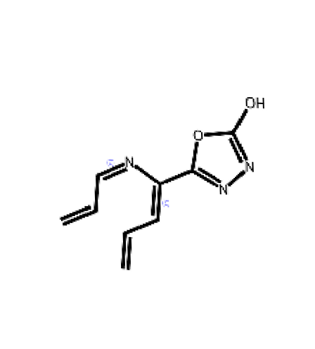 C=C/C=N\C(=C/C=C)c1nnc(O)o1